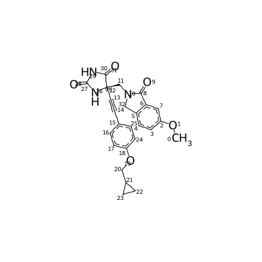 COc1ccc2c(c1)C(=O)N(C[C@@]1(C#Cc3ccc(OCC4CC4)cc3)NC(=O)NC1=O)C2